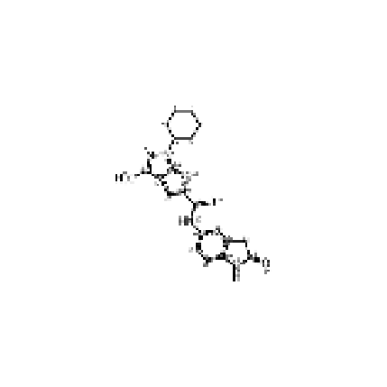 Cc1nn(C2CCCCC2)c2sc(C(=O)Nc3ccc4c(c3)CC(=O)N4)cc12